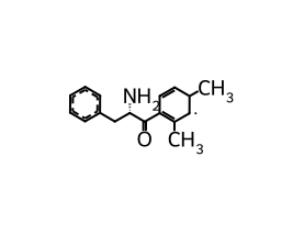 CC1=C(C(=O)[C@@H](N)Cc2ccccc2)C=CC(C)[CH]1